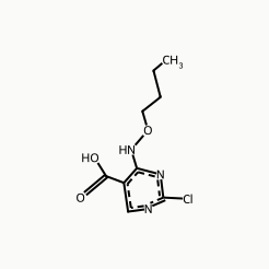 CCCCONc1nc(Cl)ncc1C(=O)O